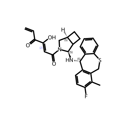 C=CC(=O)/C(O)=C/C(=O)N1C[C@H]2CCC2[C@H]1N[C@@H]1c2ccccc2SCc2c1ccc(F)c2C